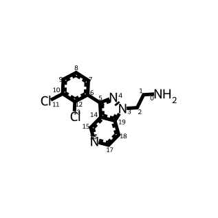 NCCn1nc(-c2cccc(Cl)c2Cl)c2cnccc21